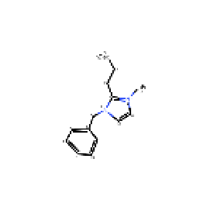 CCCCCCCCCCCCc1n(Cc2ccccc2)cc[n+]1CCC